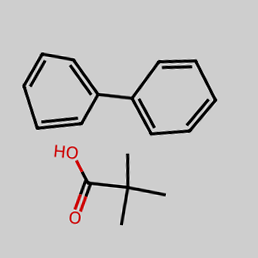 CC(C)(C)C(=O)O.c1ccc(-c2ccccc2)cc1